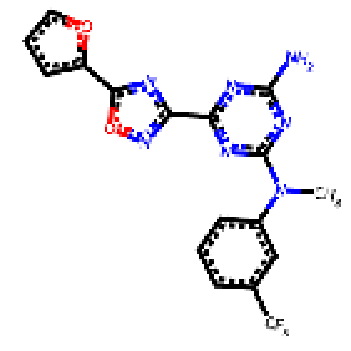 CN(c1cccc(C(F)(F)F)c1)c1nc(N)nc(-c2noc(-c3ccco3)n2)n1